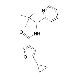 CC(C)(C)C(NC(=O)c1cc(C2CC2)on1)c1ccccn1